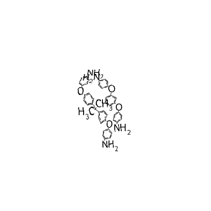 CC(C)(c1ccc(Oc2ccc(N)cc2)cc1)c1ccc(Oc2ccc(N)cc2)cc1.Nc1ccc(Oc2cccc(Oc3ccc(N)cc3)c2)cc1